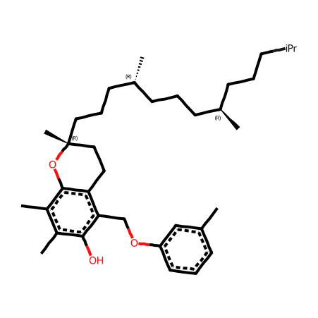 Cc1cccc(OCc2c(O)c(C)c(C)c3c2CC[C@@](C)(CCC[C@H](C)CCC[C@H](C)CCCC(C)C)O3)c1